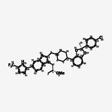 CO[C@H](C)Cn1c(CN2CCC(c3cccc4c3O[C@@](C)(c3ccc(Cl)cn3)O4)CC2)nc2cc(-c3nnc(C(F)(F)F)[nH]3)ncc21